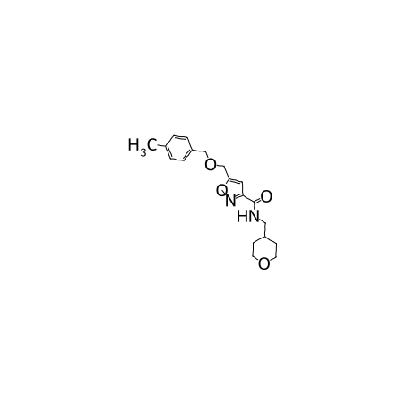 Cc1ccc(COCc2cc(C(=O)NCC3CCOCC3)no2)cc1